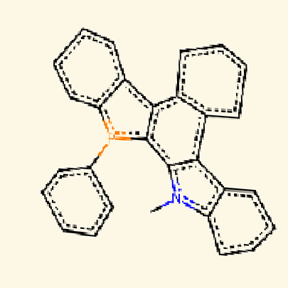 Cn1c2ccccc2c2c3ccccc3c3c4ccccc4p(-c4ccccc4)c3c21